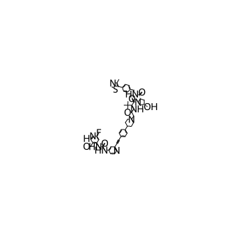 Cc1ncsc1-c1ccc(CNC(=O)[C@@H]2C[C@@H](O)CN2C(=O)C(NC(=O)CN2CCC(c3ccc(C#Cc4cc(NC(=O)Nc5cc(F)ncc5CO)ccn4)cc3)CC2)C(C)(C)C)cc1